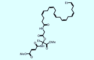 CC/C=C\C/C=C\C/C=C\C/C=C\C/C=C\C/C=C\CCC(=O)NCC(=O)OC(CC)(NC(=O)/C=C/C(=O)OC)C(=O)OC